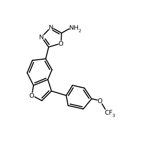 Nc1nnc(-c2ccc3occ(-c4ccc(OC(F)(F)F)cc4)c3c2)o1